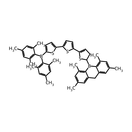 Cc1cc(C)c(B(c2ccc(-c3ccc(C4=CCC(B5c6c(C)cc(C)cc6Cc6cc(C)cc(C)c65)S4)s3)s2)c2c(C)cc(C)cc2C)c(C)c1